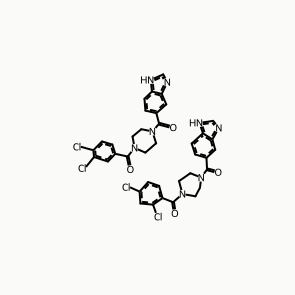 O=C(c1ccc(Cl)c(Cl)c1)N1CCN(C(=O)c2ccc3[nH]cnc3c2)CC1.O=C(c1ccc2[nH]cnc2c1)N1CCN(C(=O)c2ccc(Cl)cc2Cl)CC1